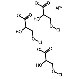 O=C([O-])C(O)COCl.O=C([O-])C(O)COCl.O=C([O-])C(O)COCl.[Al+3]